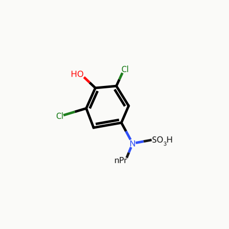 CCCN(c1cc(Cl)c(O)c(Cl)c1)S(=O)(=O)O